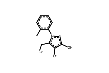 CCc1c(O)nn(-c2ccccc2C)c1CC(C)C